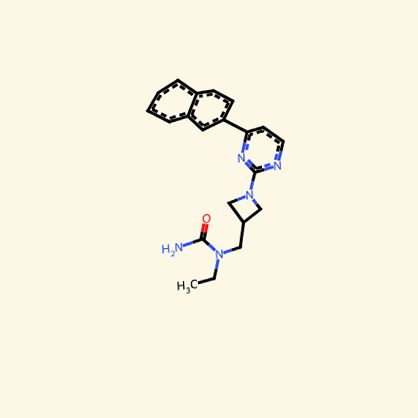 CCN(CC1CN(c2nccc(-c3ccc4ccccc4c3)n2)C1)C(N)=O